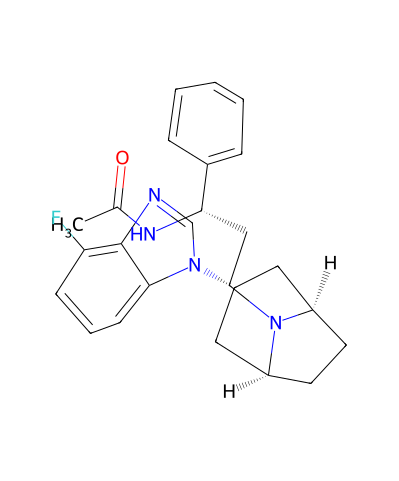 CC(=O)N[C@@H](CCN1[C@@H]2CC[C@H]1C[C@H](n1cnc3c(F)cccc31)C2)c1ccccc1